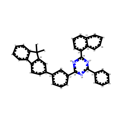 CC1(C)c2ccccc2-c2ccc(-c3cccc(-c4nc(-c5ccccc5)nc(-c5cccc6ccccc56)n4)c3)cc21